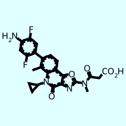 Cc1c(-c2cc(F)c(N)cc2F)ccc2c3oc(N(C)C(=O)CC(=O)O)nc3c(=O)n(C3CC3)c12